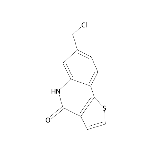 O=c1[nH]c2cc(CCl)ccc2c2sccc12